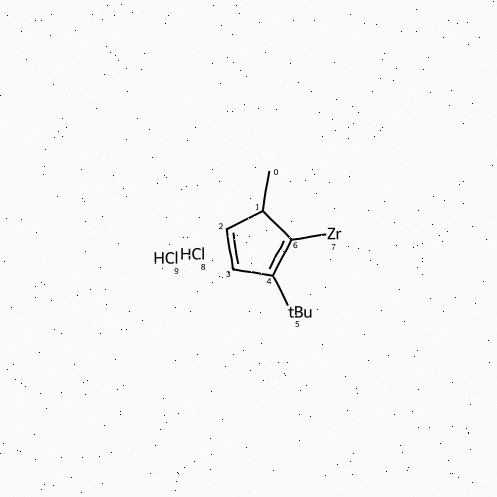 CC1C=CC(C(C)(C)C)=[C]1[Zr].Cl.Cl